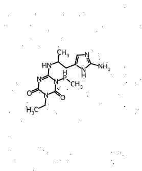 CCn1c(=O)nc(NC(C)Cc2cnc(N)[nH]2)n(PC)c1=O